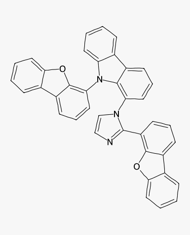 c1ccc2c(c1)oc1c(-c3nccn3-c3cccc4c5ccccc5n(-c5cccc6c5oc5ccccc56)c34)cccc12